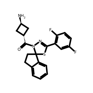 N[C@H]1C[C@H](C(=O)N2N=C(c3cc(F)ccc3F)SC23CCc2ccccc23)C1